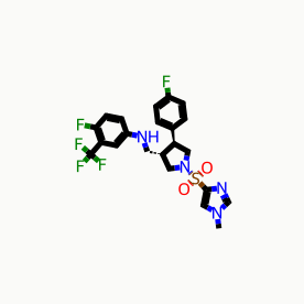 Cn1cnc(S(=O)(=O)N2C[C@H](CNc3ccc(F)c(C(F)(F)F)c3)[C@@H](c3ccc(F)cc3)C2)c1